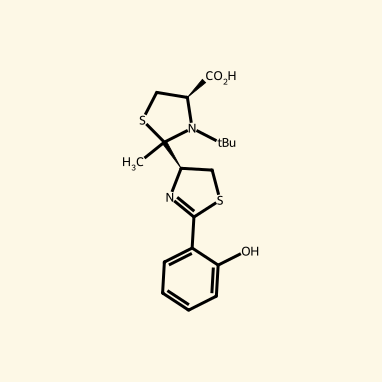 CC(C)(C)N1[C@H](C(=O)O)CSC1(C)[C@H]1CSC(c2ccccc2O)=N1